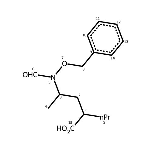 CCCC(CC(C)N(C=O)OCc1ccccc1)C(=O)O